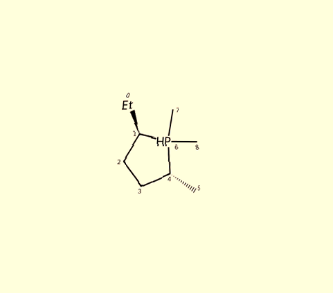 CC[C@@H]1CC[C@@H](C)[PH]1(C)C